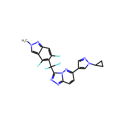 Cn1cc2c(F)c(C(F)(F)c3nnc4ccc(-c5cnn(C6CC6)c5)nn34)c(F)cc2n1